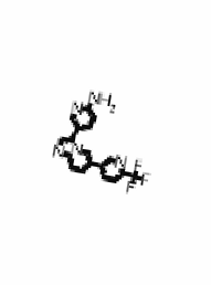 Nc1ccc(-c2cnc3ccc(-c4ccc(C(F)(F)F)nc4)cn23)cn1